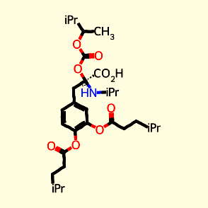 CC(C)CCC(=O)Oc1ccc(C[C@](NC(C)C)(OC(=O)OC(C)C(C)C)C(=O)O)cc1OC(=O)CCC(C)C